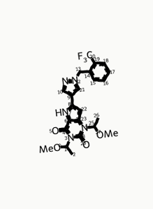 COC(C)n1c(=O)c2[nH]c(-c3cnn(Cc4ccccc4C(F)(F)F)c3)cc2n(C(C)OC)c1=O